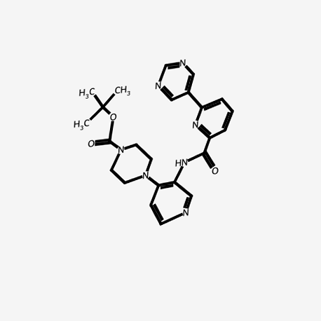 CC(C)(C)OC(=O)N1CCN(c2ccncc2NC(=O)c2cccc(-c3cncnc3)n2)CC1